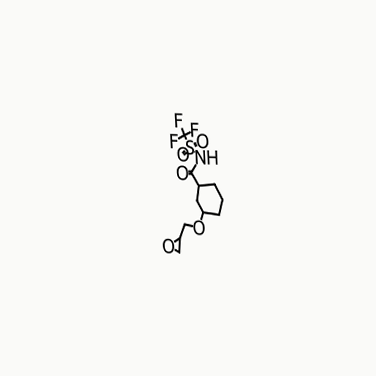 O=C(NS(=O)(=O)C(F)(F)F)C1CCCC(OCC2CO2)C1